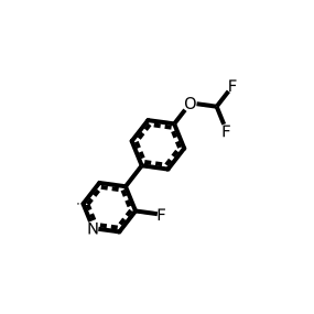 Fc1cn[c]cc1-c1ccc(OC(F)F)cc1